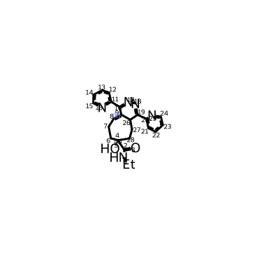 CCNC(=O)[C@@]1(O)CC/C=C2/C(c3ccccn3)=NN=C(c3ccccn3)C2CC1